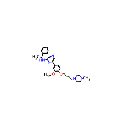 COc1cc(-c2cncc(NC(C)c3ccccc3)n2)ccc1OCCCCN1CCN(C)CC1